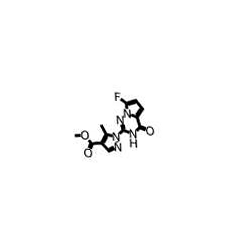 COC(=O)c1cnn(-c2nn3c(F)ccc3c(=O)[nH]2)c1C